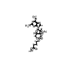 CCOc1nc(N)nc2c1ncn2[C@@H]1O[C@@H]2CO[P@@](=O)(OCCCC(=O)OC(C)C)O[C@H]2[C@@]1(C)OC(C)=O